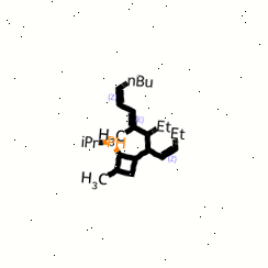 CC/C=C\C(C(CC)/C(C)=C/C=C\CCCC)C1CC(C)C1PC(C)C